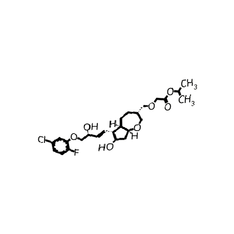 CC(C)OC(=O)COC[C@H]1CC[C@@H]2[C@@H](/C=C/[C@@H](O)COc3cc(Cl)ccc3F)[C@H](O)C[C@@H]2OC1